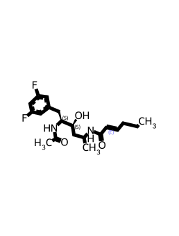 CCC/C=C/C(=O)NC(C)C[C@H](O)[C@H](Cc1cc(F)cc(F)c1)NC(C)=O